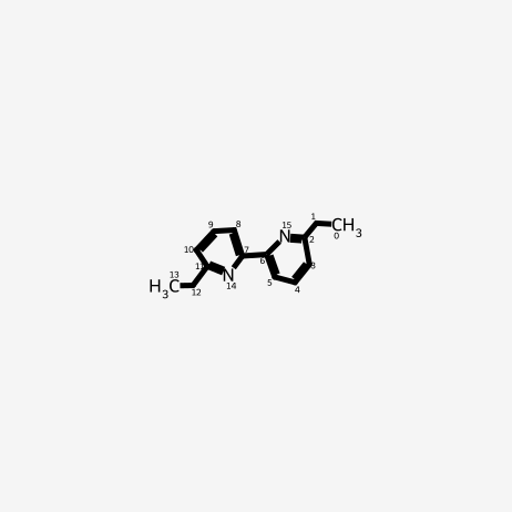 CCc1cccc(-c2cccc(CC)n2)n1